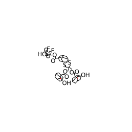 O=C(OCC(F)(F)S(=O)(=O)O)C12CC3CC(C1)C1(SCC(COC(=O)C45CC6CC(CC(O)(C6)C4)C5)(COC(=O)C45CC6CC(CC(O)(C6)C4)C5)CS1)C(C3)C2